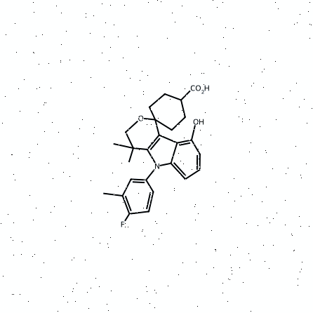 Cc1cc(-n2c3c(c4c(O)cccc42)C2(CCC(C(=O)O)CC2)OCC3(C)C)ccc1F